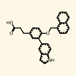 O=C(O)CCc1ccc(OCc2cccc3ccccc23)c(-c2ccc3[nH]ccc3c2)c1